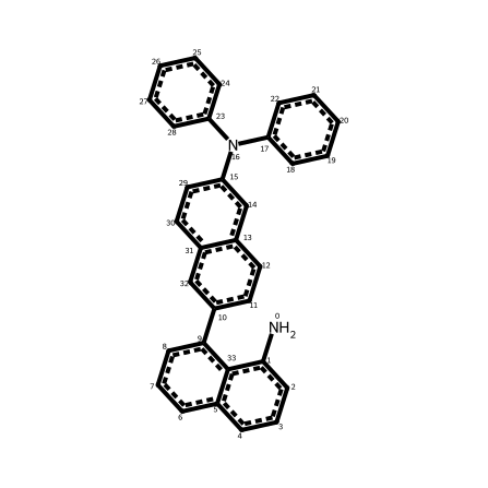 Nc1cccc2cccc(-c3ccc4cc(N(c5ccccc5)c5ccccc5)ccc4c3)c12